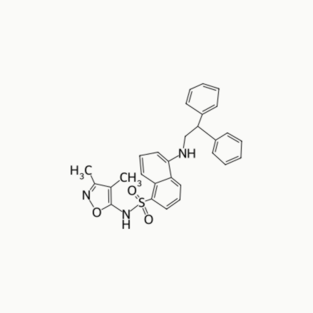 Cc1noc(NS(=O)(=O)c2cccc3c(NCC(c4ccccc4)c4ccccc4)cccc23)c1C